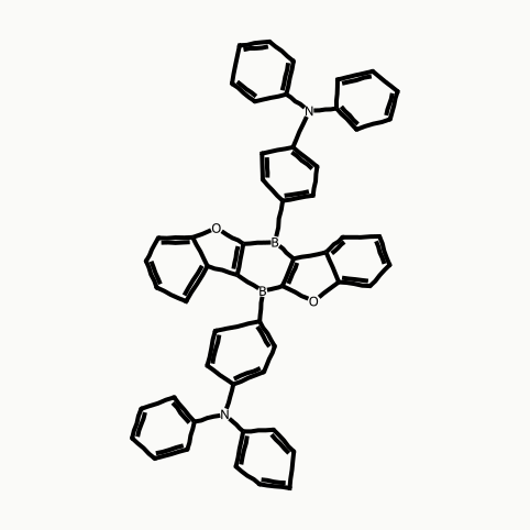 c1ccc(N(c2ccccc2)c2ccc(B3c4oc5ccccc5c4B(c4ccc(N(c5ccccc5)c5ccccc5)cc4)c4oc5ccccc5c43)cc2)cc1